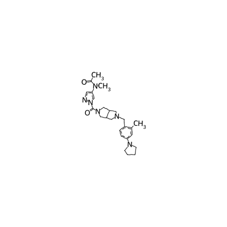 CC(=O)N(C)c1cnn(C(=O)N2CC3CN(Cc4ccc(N5CCCC5)cc4C)CC3C2)c1